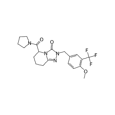 COc1ccc(Cn2nc3n(c2=O)C(C(=O)N2CCCC2)CCC3)cc1C(F)(F)F